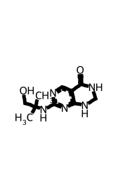 CC(C)(CO)Nc1ncc2c(n1)NCNC2=O